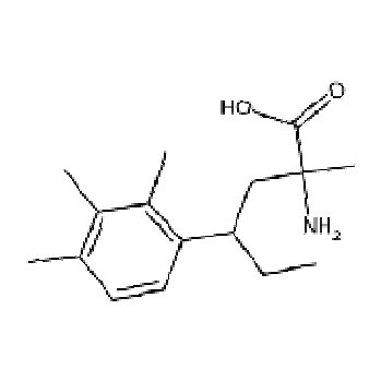 CCC(CC(C)(N)C(=O)O)c1ccc(C)c(C)c1C